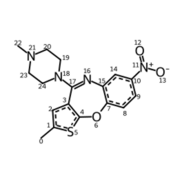 Cc1cc2c(s1)Oc1ccc([N+](=O)[O-])cc1N=C2N1CCN(C)CC1